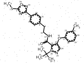 CSc1nc(-c2ccc(CCNC(=O)c3c(Oc4cccc(C)c4)cnn3C(C)(C)C)cc2)no1